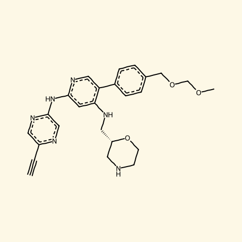 C#Cc1cnc(Nc2cc(NC[C@H]3CNCCO3)c(-c3ccc(COCOC)cc3)cn2)cn1